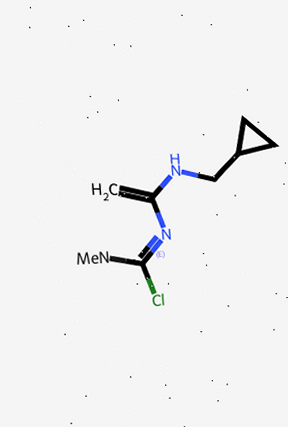 C=C(/N=C(/Cl)NC)NCC1CC1